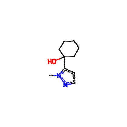 Cn1nccc1C1(O)CCCCC1